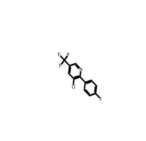 Fc1ccc(-c2ncc(C(F)(F)F)cc2Cl)cc1